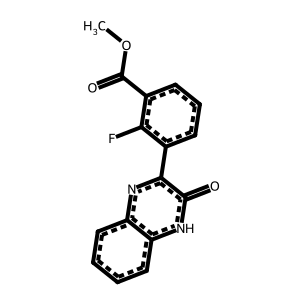 COC(=O)c1cccc(-c2nc3ccccc3[nH]c2=O)c1F